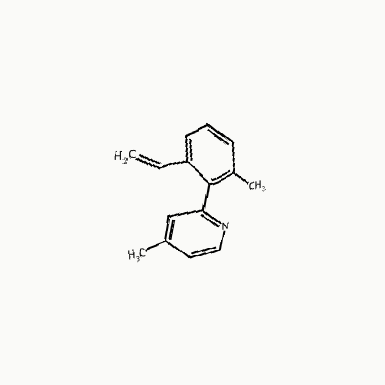 C=Cc1cccc(C)c1-c1cc(C)ccn1